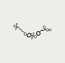 O=C(O)C=Cc1ccc(OC(F)(F)c2ccc(OCCCCCC(F)(F)F)cc2)cc1